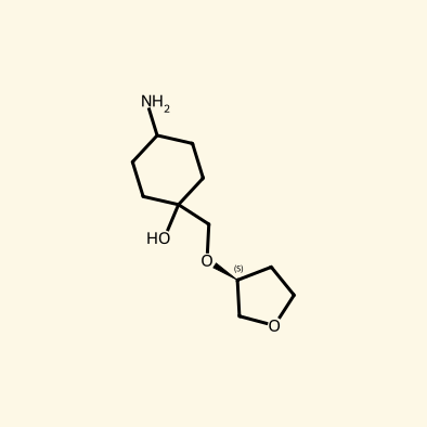 NC1CCC(O)(CO[C@H]2CCOC2)CC1